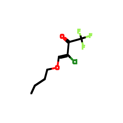 CCCCOC=C(Cl)C(=O)C(F)(F)F